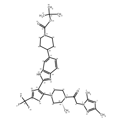 Cc1nc(C)n(CC(=O)N2CCN(c3sc(C(F)(F)F)nc3-c3nc4ccc(C5CCN(C(=O)OC(C)(C)C)CC5)cc4[nH]3)C[C@H]2C)n1